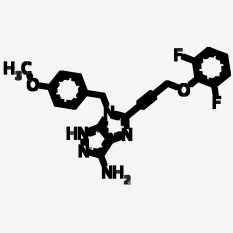 COc1ccc(Cn2c(C#CCOc3c(F)cccc3F)nc3c(N)n[nH]c32)cc1